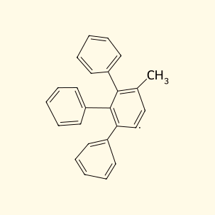 Cc1c[c]c(-c2ccccc2)c(-c2ccccc2)c1-c1ccccc1